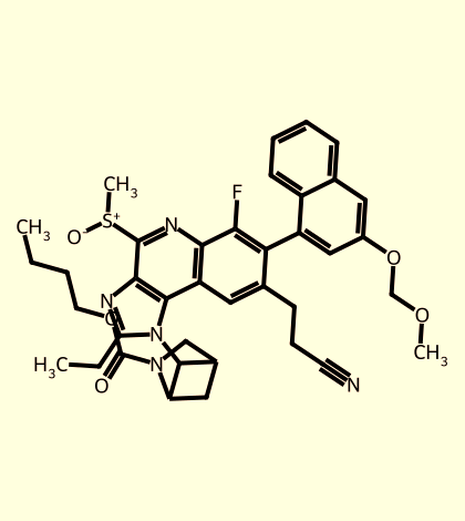 CCCCOC(=O)N1CC2CC1C2n1c(CC)nc2c([S+](C)[O-])nc3c(F)c(-c4cc(OCOC)cc5ccccc45)c(CCC#N)cc3c21